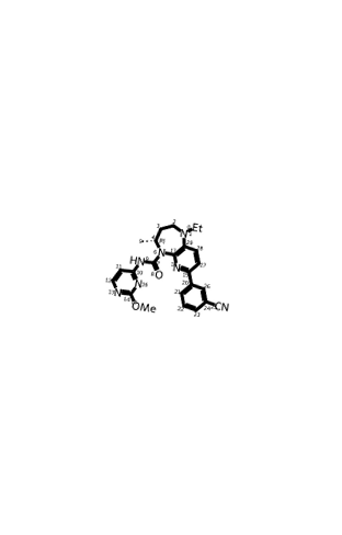 CCN1CC[C@@H](C)N(C(=O)Nc2ccnc(OC)n2)c2nc(-c3cccc(C#N)c3)ccc21